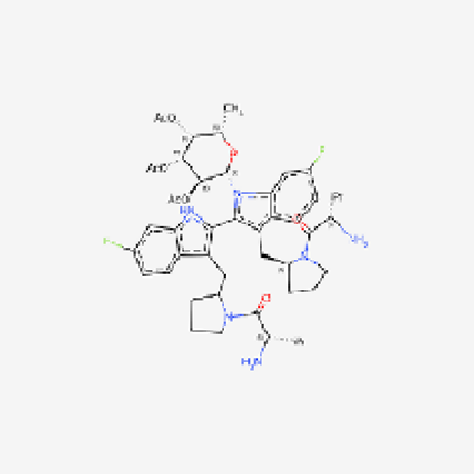 CC(=O)O[C@@H]1[C@H](OC(C)=O)[C@H](C)O[C@H](n2c(-c3[nH]c4cc(F)ccc4c3CC3CCCN3C(=O)[C@@H](N)C(C)C)c(C[C@@H]3CCCN3C(=O)[C@@H](N)C(C)C)c3ccc(F)cc32)[C@H]1OC(C)=O